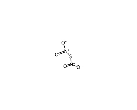 O=[N+]([O-])S[N+](=O)[O-]